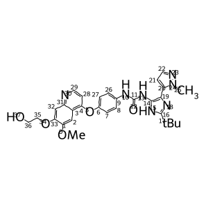 COc1cc2c(Oc3ccc(NC(=O)Nc4[nH]c(C(C)(C)C)nc4-c4ccnn4C)cc3)ccnc2cc1OCCO